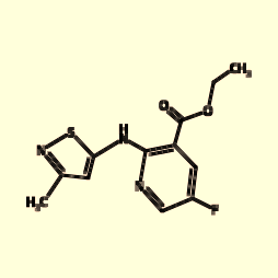 CCOC(=O)c1cc(F)cnc1Nc1cc(C)ns1